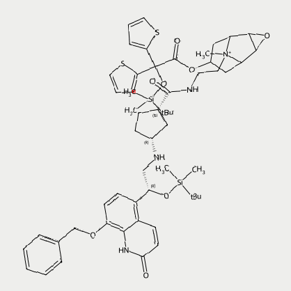 CC(C)(C)[Si](C)(C)O[C@@H](CN[C@@H]1CC[C@H](C(=O)NCC[N+]2(C)C3CC(OC(=O)C(O[Si](C)(C)C(C)(C)C)(c4cccs4)c4cccs4)CC2C2OC23)C1)c1ccc(OCc2ccccc2)c2[nH]c(=O)ccc12